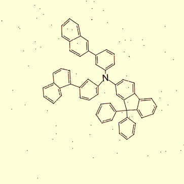 c1ccc(C2(c3ccccc3)c3ccccc3-c3ccc(N(c4cccc(-c5ccc6ccccc6c5)c4)c4cccc(-c5cccc6ccccc56)c4)cc32)cc1